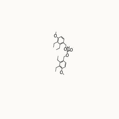 CCc1c(CO[PH](=O)OCc2ccc(OC)c(CC)c2CC)ccc(OC)c1CC